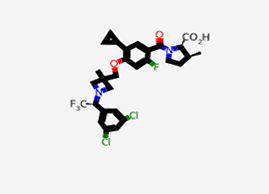 C[C@H]1CCN(C(=O)c2cc(C3CC3)c(OCC3(C)CN([C@H](c4cc(Cl)cc(Cl)c4)C(F)(F)F)C3)cc2F)[C@@H]1C(=O)O